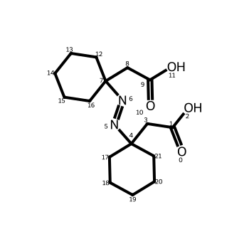 O=C(O)CC1(N=NC2(CC(=O)O)CCCCC2)CCCCC1